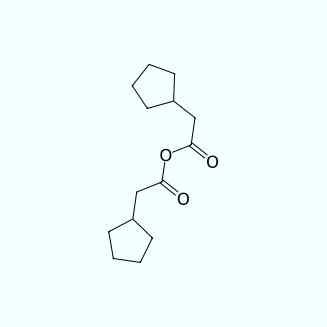 O=C(CC1CCCC1)OC(=O)CC1CCCC1